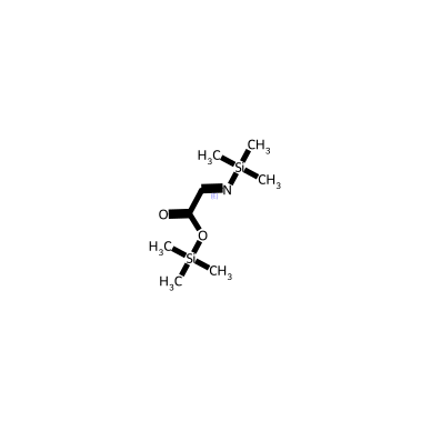 C[Si](C)(C)/N=C/C(=O)O[Si](C)(C)C